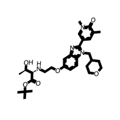 Cc1cc(-c2nc3cc(OCCN[C@H](C(=O)OC(C)(C)C)[C@@H](C)O)ccc3n2CC2CCOCC2)cn(C)c1=O